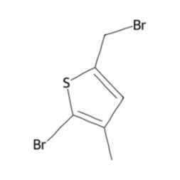 Cc1cc(CBr)sc1Br